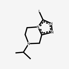 CC(C)N1CCn2c(I)nnc2C1